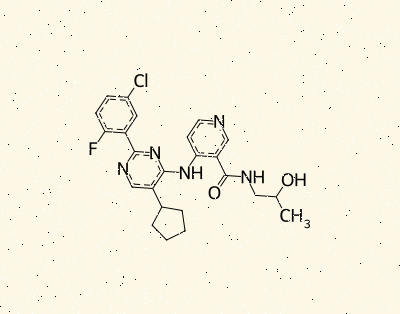 CC(O)CNC(=O)c1cnccc1Nc1nc(-c2cc(Cl)ccc2F)ncc1C1CCCC1